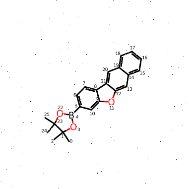 CC1(C)OB(c2ccc3c(c2)oc2cc4ccccc4cc23)OC1(C)C